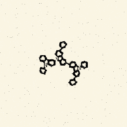 c1ccc(-c2ccc3c(c2)c2cc(-c4ccc5c(c4)c4cc(-c6ccccc6)ccc4n5-c4ccc5c(c4)c4ccccc4n5-c4ccccc4)ccc2n3-c2ccccc2)cc1